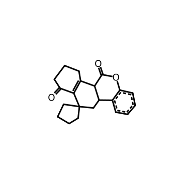 O=C1CCCC2=C1C1(CCCC1)CC1c3ccccc3OC(=O)C21